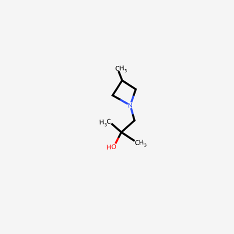 CC1CN(CC(C)(C)O)C1